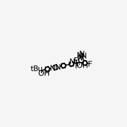 CC(C)(C)C(O)c1ccc(N2CCN(c3ccc(-c4ccc(C(F)(F)[C@]5(O)Cn6nnnc6-c6cc(F)ccc65)nc4)cc3)CC2)cc1